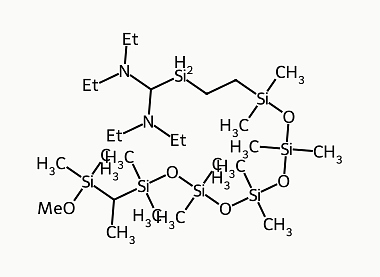 CCN(CC)C([SiH2]CC[Si](C)(C)O[Si](C)(C)O[Si](C)(C)O[Si](C)(C)O[Si](C)(C)C(C)[Si](C)(C)OC)N(CC)CC